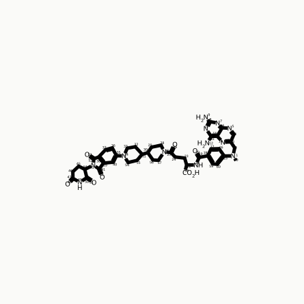 CN(Cc1cnc2nc(N)nc(N)c2n1)c1ccc(C(=O)NC(CCC(=O)N2CCC(C3CCN(c4ccc5c(c4)C(=O)N(C4CCC(=O)NC4=O)C5=O)CC3)CC2)C(=O)O)cc1